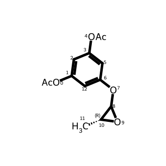 CC(=O)Oc1cc(OC(C)=O)cc(OC2O[C@@H]2C)c1